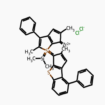 CC1=CC2=C([C]1=[Zr+2])S(=C1C(C)=Cc3c1sc1cccc(-c4ccccc4)c31)(=[Si](C)C)C(C)=C2c1ccccc1.[Cl-].[Cl-]